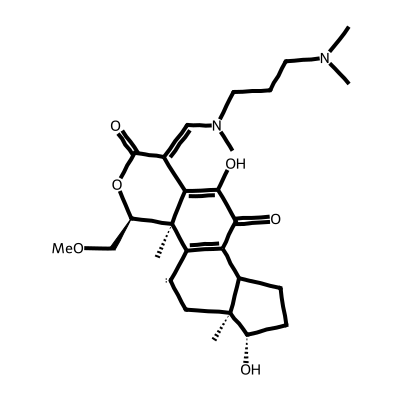 COC[C@H]1OC(=O)/C(=C/N(C)CCCN(C)C)C2=C(O)C(=O)C3=C([C]C[C@@]4(C)C3CC[C@@H]4O)[C@]21C